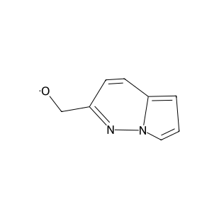 [O]Cc1ccc2cccn2n1